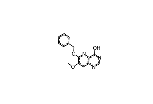 COc1cc2ncnc(O)c2nc1OCc1ccccc1